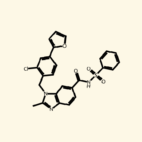 Cc1nc2ccc(C(=O)NS(=O)(=O)c3ccccc3)cc2n1Cc1ccc(-c2ccco2)cc1Cl